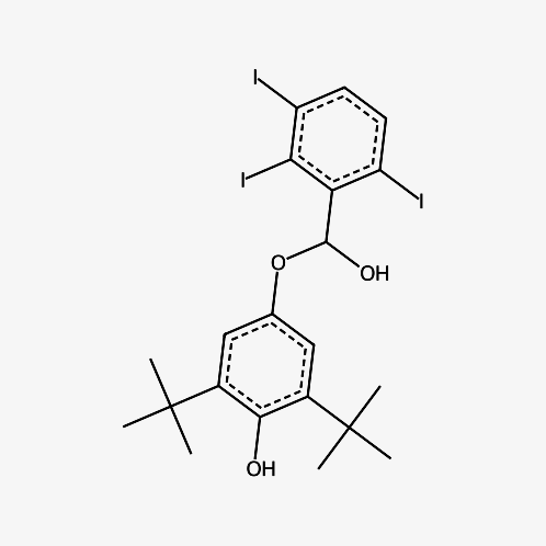 CC(C)(C)c1cc(OC(O)c2c(I)ccc(I)c2I)cc(C(C)(C)C)c1O